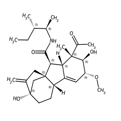 C=C1C[C@]23C[C@@]1(O)CC[C@H]2C1=C[C@@H](OC)[C@H](O)[C@@](C)(C(C)=O)[C@H]1[C@@H]3C(=O)N[C@H](C)[C@@H](C)CC